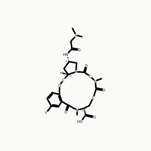 CN(C)CC(=O)N[C@H]1C[C@H]2COc3ccc(F)cc3C(=O)N(C)[C@H](C(=O)O)CCC(=O)N(C)CC(=O)N2C1